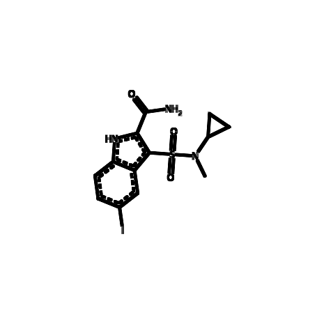 CN(C1CC1)S(=O)(=O)c1c(C(N)=O)[nH]c2ccc(I)cc12